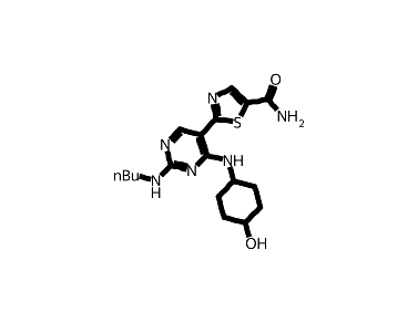 CCCCNc1ncc(-c2ncc(C(N)=O)s2)c(NC2CCC(O)CC2)n1